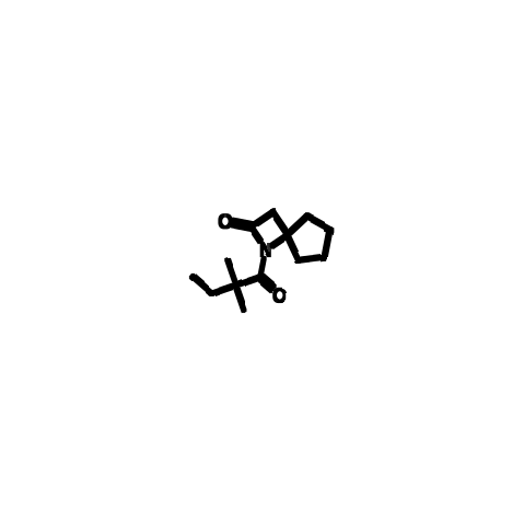 CCC(C)(C)C(=O)N1C(=O)CC12CCCC2